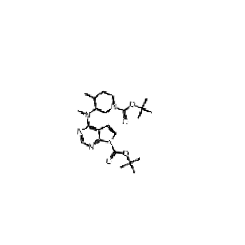 CC1CCN(C(=O)OC(C)(C)C)CC1N(C)c1ncnc2c1ccn2C(=O)OC(C)(C)C